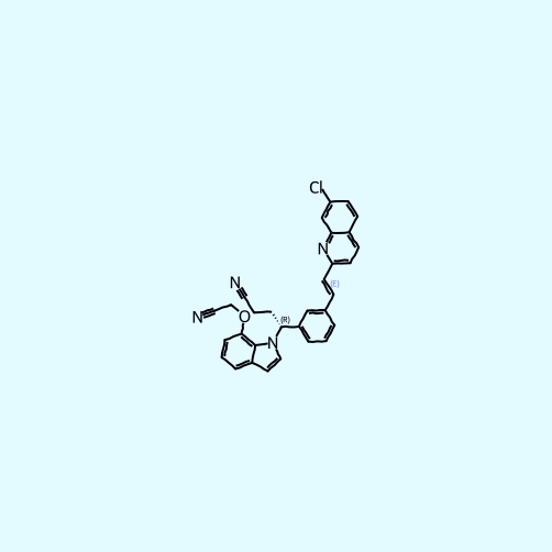 N#CCC[C@H](c1cccc(/C=C/c2ccc3ccc(Cl)cc3n2)c1)n1ccc2cccc(OCC#N)c21